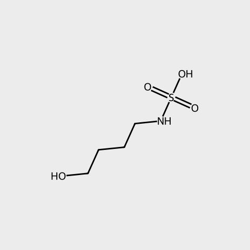 O=S(=O)(O)NCCCCO